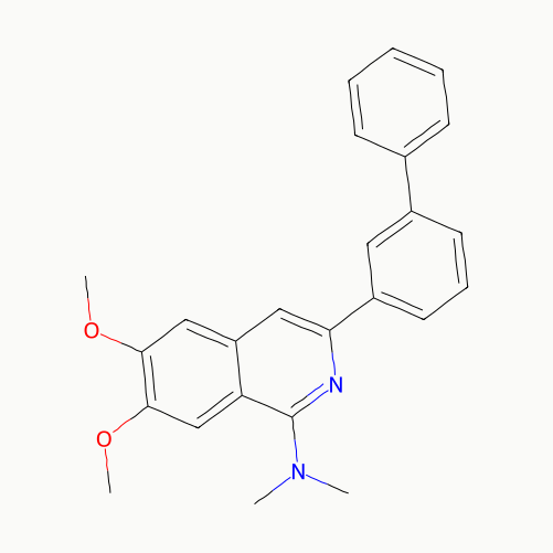 COc1cc2cc(-c3cccc(-c4ccccc4)c3)nc(N(C)C)c2cc1OC